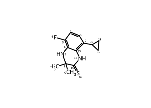 CC1(C)Nc2c(F)ccc(C3CC3)c2NC1=S